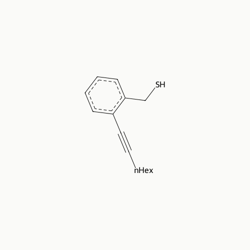 CCCCCCC#Cc1ccccc1CS